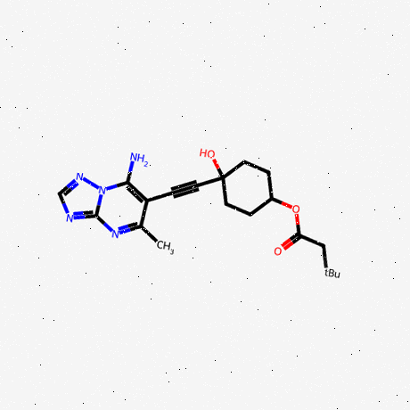 Cc1nc2ncnn2c(N)c1C#CC1(O)CCC(OC(=O)CC(C)(C)C)CC1